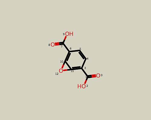 O=C(O)c1ccc(C(=O)O)c2c1O2